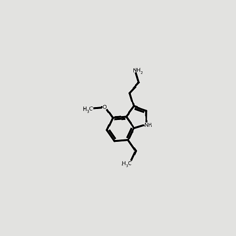 CCc1ccc(OC)c2c(CCN)c[nH]c12